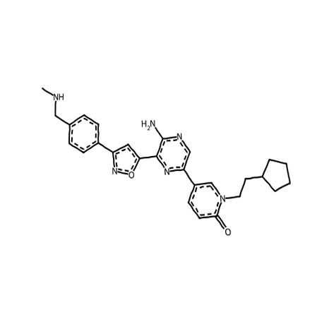 CNCc1ccc(-c2cc(-c3nc(-c4ccc(=O)n(CCC5CCCC5)c4)cnc3N)on2)cc1